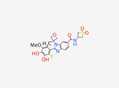 COc1cc(-c2nc3ccc(C(=O)NC4CS(=O)(=O)C4)cc3n2C2(C)COC2)c(F)c(O)c1O